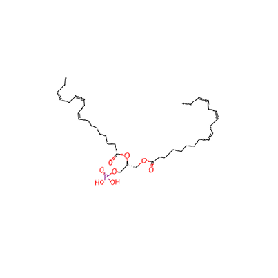 CC/C=C\C/C=C\C/C=C\CCCCCCCC(=O)OC[C@H](COP(=O)(O)O)OC(=O)CCCCCCC/C=C\C/C=C\C/C=C\CC